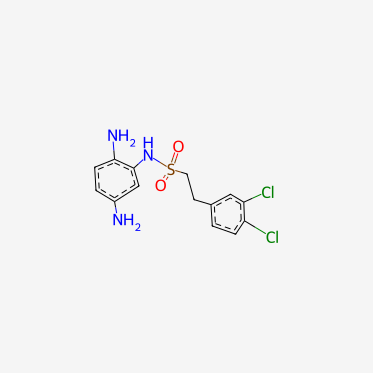 Nc1ccc(N)c(NS(=O)(=O)CCc2ccc(Cl)c(Cl)c2)c1